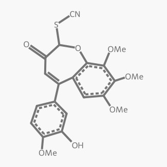 COc1ccc(C2=CC(=O)C(SC#N)Oc3c2cc(OC)c(OC)c3OC)cc1O